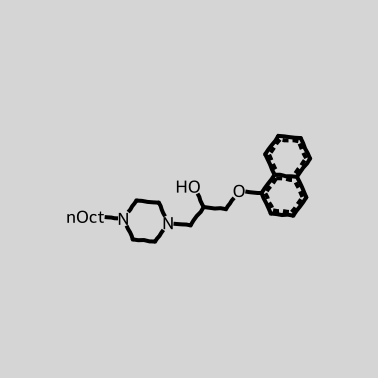 CCCCCCCCN1CCN(CC(O)COc2cccc3ccccc23)CC1